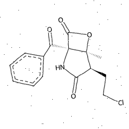 C[C@@]12OC(=O)[C@]1(C(=O)c1ccccc1)NC(=O)[C@@H]2CCCl